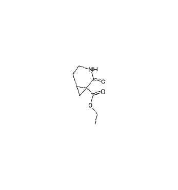 CCOC(=O)C12CC1CCNC2=O